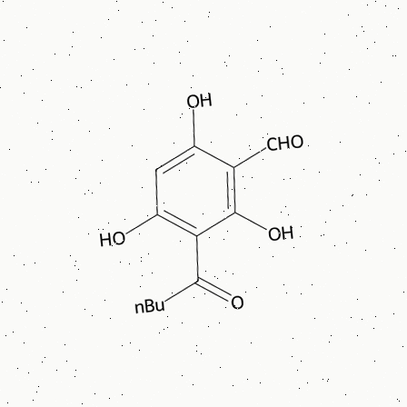 CCCCC(=O)c1c(O)cc(O)c(C=O)c1O